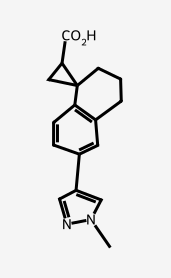 Cn1cc(-c2ccc3c(c2)CCCC32CC2C(=O)O)cn1